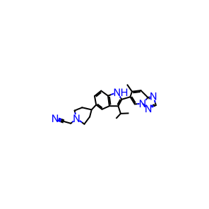 Cc1cc2ncnn2cc1-c1[nH]c2ccc(C3CCN(CC#N)CC3)cc2c1C(C)C